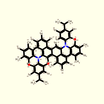 [2H]c1c(C)c([2H])c(N(c2c([2H])c([2H])c(C(C)C)c([2H])c2[2H])c2c([2H])c3c4c([2H])c([2H])c([2H])c([2H])c4c(N(c4c([2H])c([2H])c(C(C)C)c([2H])c4[2H])c4c([2H])c(C)c([2H])c(C)c4[2H])c([2H])c3c3c([2H])c([2H])c([2H])c([2H])c23)c([2H])c1C